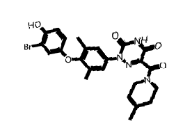 Cc1cc(-n2nc(C(=O)N3CCC(C)CC3)c(=O)[nH]c2=O)cc(C)c1Oc1ccc(O)c(Br)c1